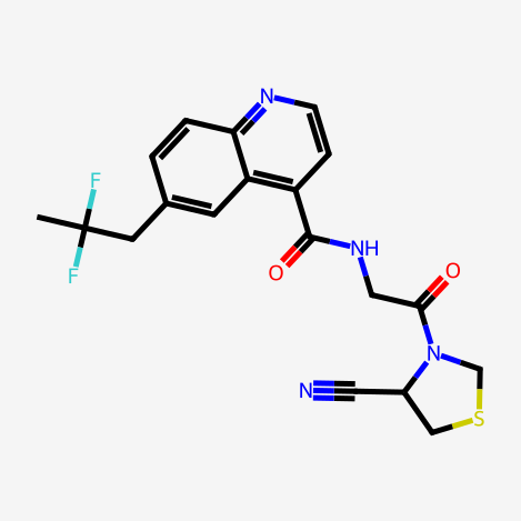 CC(F)(F)Cc1ccc2nccc(C(=O)NCC(=O)N3CSCC3C#N)c2c1